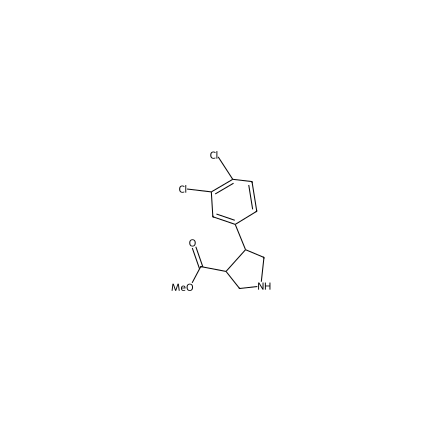 COC(=O)C1CNCC1c1ccc(Cl)c(Cl)c1